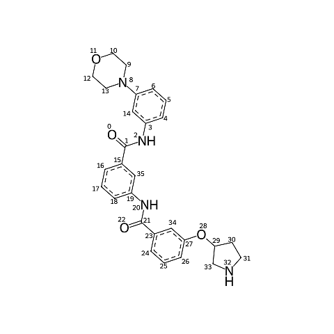 O=C(Nc1cccc(N2CCOCC2)c1)c1cccc(NC(=O)c2cccc(OC3CCNC3)c2)c1